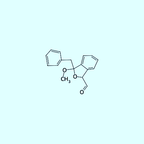 COC1(Cc2ccccc2)OC(C=O)c2ccccc21